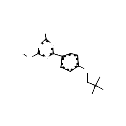 COc1nc(Cl)nc(-c2ccc(OCC(C)(C)C)cc2)n1